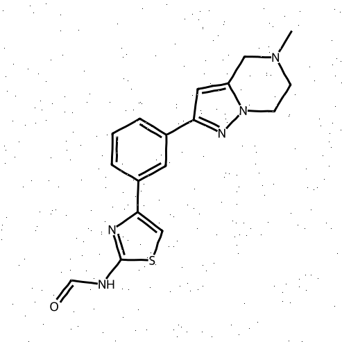 CN1CCn2nc(-c3cccc(-c4csc(NC=O)n4)c3)cc2C1